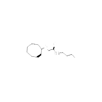 CCCCNC(=O)COC1C#CCCCCC1